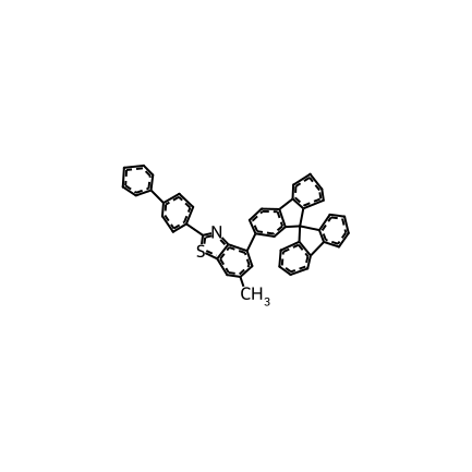 Cc1cc(-c2ccc3c(c2)C2(c4ccccc4-c4ccccc42)c2ccccc2-3)c2nc(-c3ccc(-c4ccccc4)cc3)sc2c1